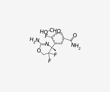 C[C@]1(c2cc(C(N)=O)ccc2F)N=C(N)OCC1(F)F.O=CO